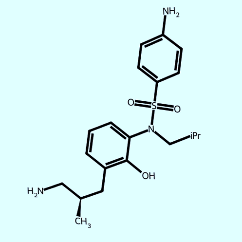 CC(C)CN(c1cccc(C[C@@H](C)CN)c1O)S(=O)(=O)c1ccc(N)cc1